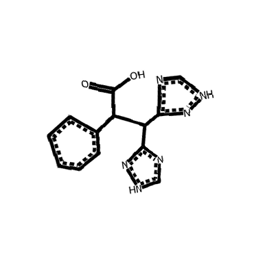 O=C(O)C(c1ccccc1)C(c1nc[nH]n1)c1nc[nH]n1